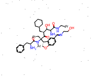 CC(=O)N(C(=O)[C@@H](N)Cc1ccccc1)[C@](CC(C)C)(C(=O)[C@@H](CC1CCCCC1)C(O)C(N)C(=O)NCC(C)C)[C@H]1COc2ccc(C=NCCO)cc21